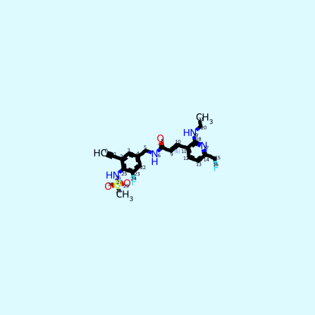 C#Cc1cc(CNC(=O)/C=C/c2ccc(CF)nc2NCC)cc(F)c1NS(C)(=O)=O